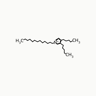 CCCCCCCCCCCCC[n+]1ccc(CCCCC)c(CCCCC)c1